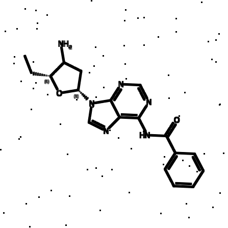 CC[C@H]1O[C@@H](n2cnc3c(NC(=O)c4ccccc4)ncnc32)CC1N